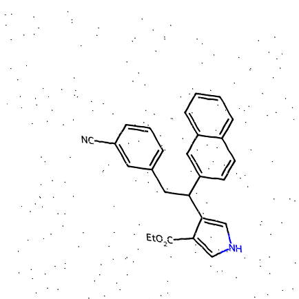 CCOC(=O)c1c[nH]cc1C(Cc1cccc(C#N)c1)c1ccc2ccccc2c1